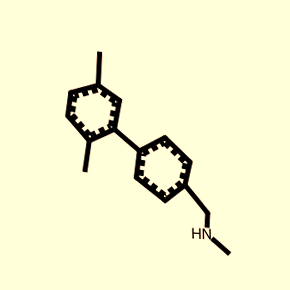 CNCc1ccc(-c2cc(C)ccc2C)cc1